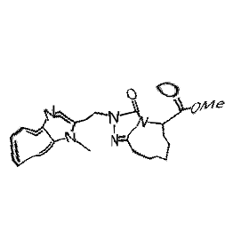 COC(=O)C1CCCc2nn(Cc3nc4ccccc4n3C)c(=O)n21